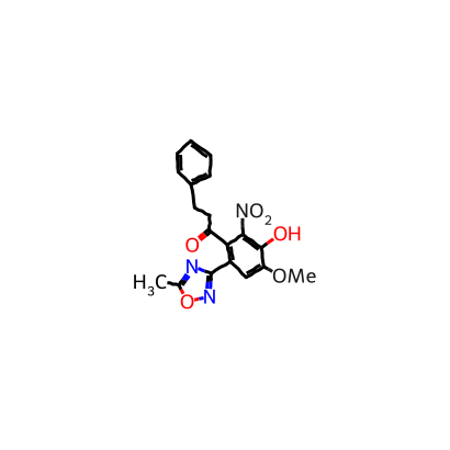 COc1cc(-c2noc(C)n2)c(C(=O)CCc2ccccc2)c([N+](=O)[O-])c1O